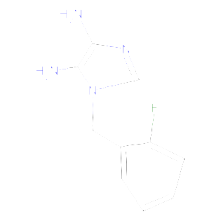 Nc1ncn(Cc2ccccc2F)c1N